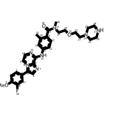 COc1ccc(-c2cnc3c(Nc4ccc(C(=O)N(C)CCOCCN5CCNCC5)c(C)c4)nccn23)cc1F